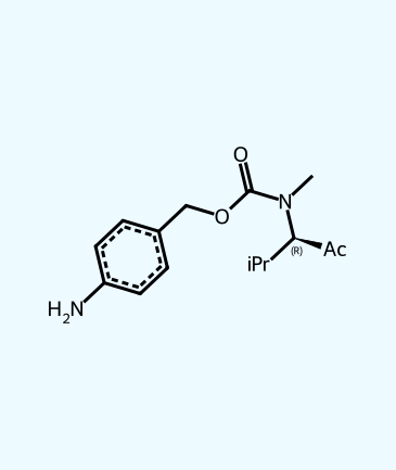 CC(=O)[C@@H](C(C)C)N(C)C(=O)OCc1ccc(N)cc1